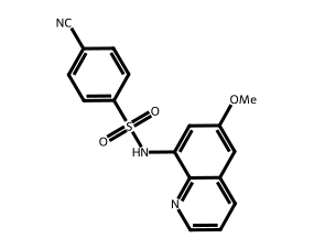 COc1cc(NS(=O)(=O)c2ccc(C#N)cc2)c2ncccc2c1